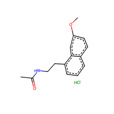 COc1ccc2cccc(CCNC(C)=O)c2c1.Cl